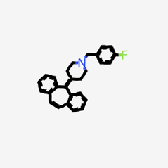 Fc1ccc(CN2CCC(=C3c4ccccc4C=Cc4ccccc43)CC2)cc1